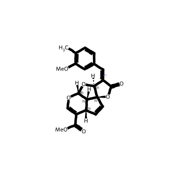 COC(=O)C1=CO[C@@H]2O[C@H]3/C(=C\c4ccc(C)c(OC)c4)C(=O)O[C@]34C=C[C@H]1[C@H]24